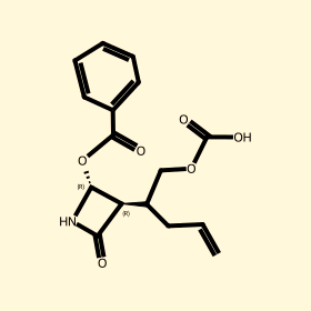 C=CCC(COC(=O)O)[C@H]1C(=O)N[C@@H]1OC(=O)c1ccccc1